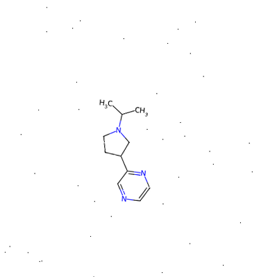 CC(C)N1CCC(c2cnccn2)C1